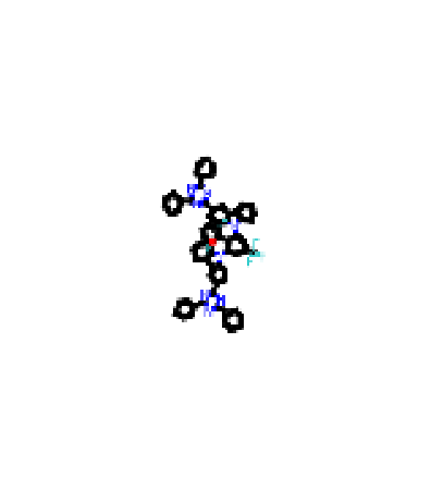 Fc1cccc(F)c1-c1c(-n2c3ccccc3c3cc(-c4nc(-c5ccccc5)nc(-c5ccccc5)n4)ccc32)cc(C(F)(F)F)cc1-n1c2ccccc2c2cc(-c3nc(-c4ccccc4)nc(-c4ccccc4)n3)ccc21